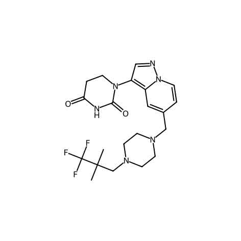 CC(C)(CN1CCN(Cc2ccn3ncc(N4CCC(=O)NC4=O)c3c2)CC1)C(F)(F)F